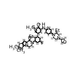 CCc1c(-c2cc(Nc3ccc(N4CCN(C5COC5)C[C@@H]4CC)cn3)c(=O)n(C)c2)cc(F)cc1N1CCn2c(cc3c2CC(C)(C)C3)C1=O